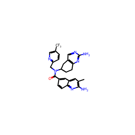 Cc1cc2cc(C(=O)N(Cc3ccc(C(F)(F)F)cn3)C3CCc4nc(N)ncc4C3)ccc2nc1N